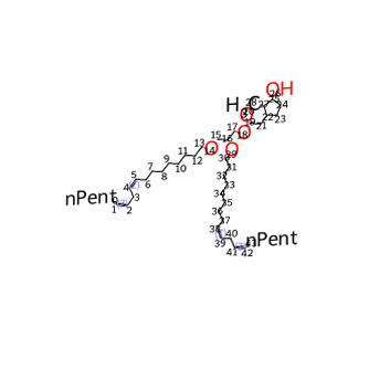 CCCCC/C=C\C/C=C\CCCCCCCCOCC(COC(=O)CC1CCC(O)C1C)OCCCCCCCC/C=C\C/C=C\CCCCC